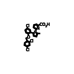 Cc1ccc(-c2cc(Cl)ccc2OCc2ccc(Cl)cc2Cl)n1-c1cccc(C(=O)O)n1